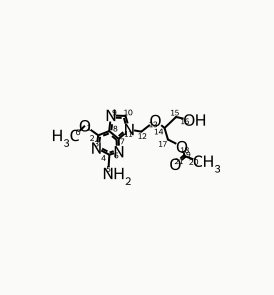 COc1nc(N)nc2c1ncn2COC(CO)COC(C)=O